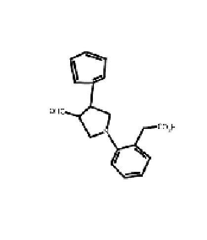 O=CC1CN(c2ccccc2CC(=O)O)CC1c1ccccc1